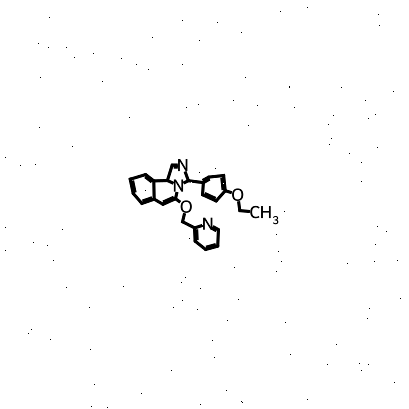 CCOc1ccc(C2N=CC3c4ccccc4C=C(OCc4ccccn4)N32)cc1